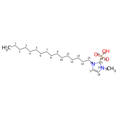 CCCCCCCCCCCCCCCCN1C=CN(C)C1S(=O)(=O)O